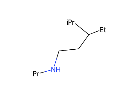 CCC(CCNC(C)C)C(C)C